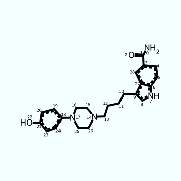 NC(=O)c1ccc2[nH]cc(CCCCN3CCN(c4ccc(O)cc4)CC3)c2c1